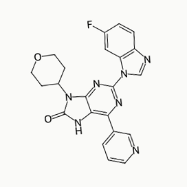 O=c1[nH]c2c(-c3cccnc3)nc(-n3cnc4ccc(F)cc43)nc2n1C1CCOCC1